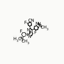 CN(C)[C@@H]1C[C@@H](F)CN(c2nccn3c(-c4cc5nnn(C)c5cc4F)c(-c4ccc(C#N)c(F)c4)nc23)C1